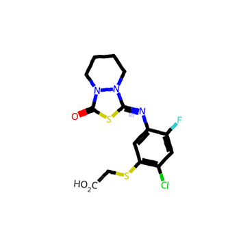 O=C(O)CSc1cc(/N=c2\sc(=O)n3n2CCCC3)c(F)cc1Cl